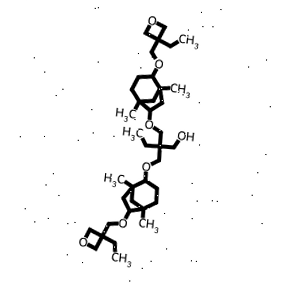 CCC1(COC2CC3(C)CC2(C)CCC3OCC(CC)(CO)COC2CC3(C)CC2(C)CCC3OCC2(CC)COC2)COC1